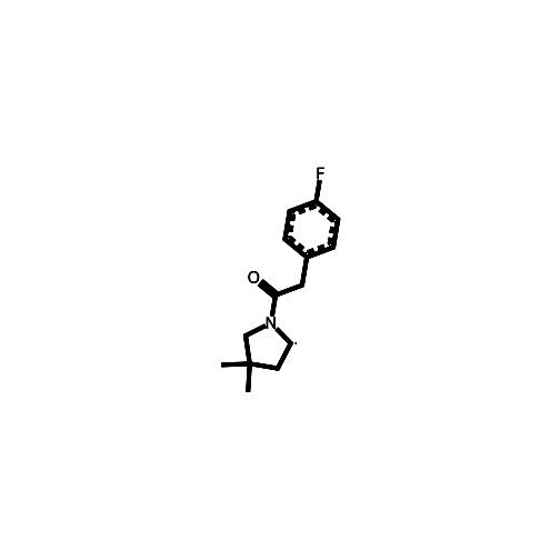 CC1(C)C[CH]N(C(=O)Cc2ccc(F)cc2)C1